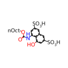 CCCCCCCCOC(=O)Nc1cc(S(=O)(=O)O)cc2cc(S(=O)(=O)O)cc(O)c12